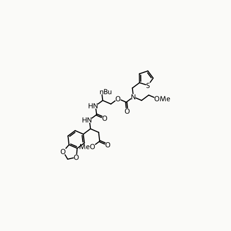 CCCCC(COC(=O)N(CCOC)Cc1cccs1)NC(=O)NC(CC(=O)OC)c1ccc2c(c1)OCO2